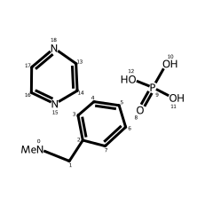 CNCc1ccccc1.O=P(O)(O)O.c1cnccn1